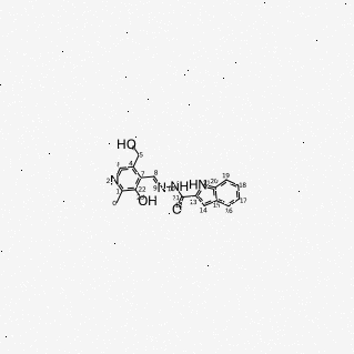 Cc1ncc(CO)c(C=NNC(=O)c2cc3ccccc3[nH]2)c1O